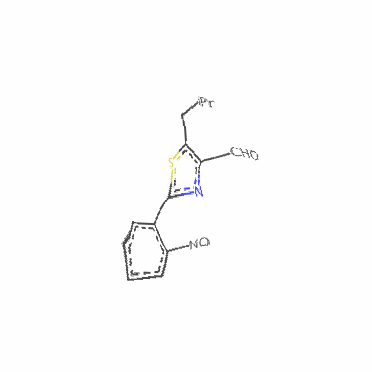 CC(C)Cc1sc(-c2ccccc2N=O)nc1C=O